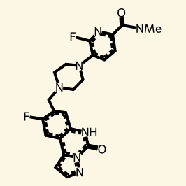 CNC(=O)c1ccc(N2CCN(Cc3cc4[nH]c(=O)n5nccc5c4cc3F)CC2)c(F)n1